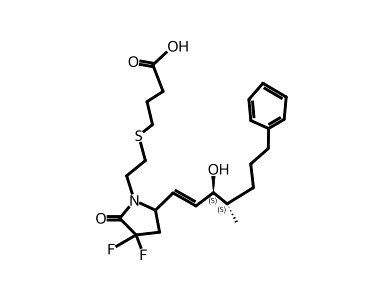 C[C@@H](CCCc1ccccc1)[C@H](O)C=CC1CC(F)(F)C(=O)N1CCSCCCC(=O)O